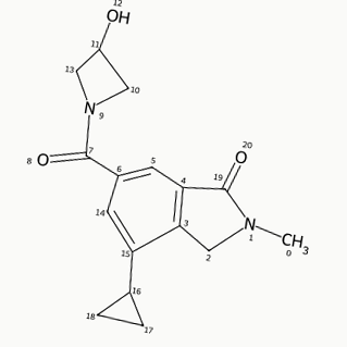 CN1Cc2c(cc(C(=O)N3CC(O)C3)cc2C2CC2)C1=O